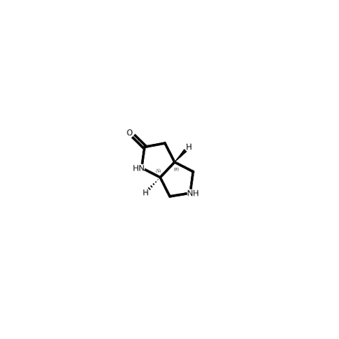 O=C1C[C@@H]2CNC[C@H]2N1